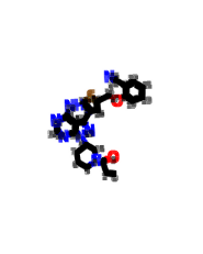 C=CC(=O)N1CCCC(n2nc(-c3csc(COc4ccccc4C#N)c3)c3c(N)ncnc32)C1